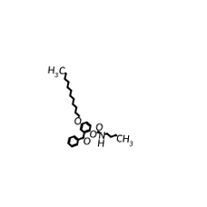 CCCCCCCCCCCCOc1ccc(OC(=O)NCCCC)c(C(=O)c2ccccc2)c1